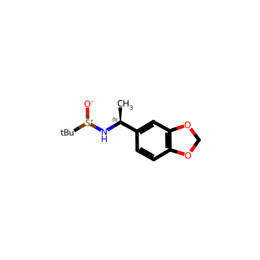 C[C@H](N[S+]([O-])C(C)(C)C)c1ccc2c(c1)OCO2